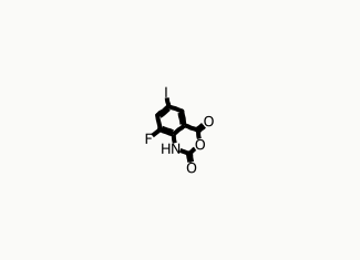 O=c1[nH]c2c(F)cc(I)cc2c(=O)o1